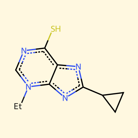 CCn1cnc(S)c2nc(C3CC3)nc1-2